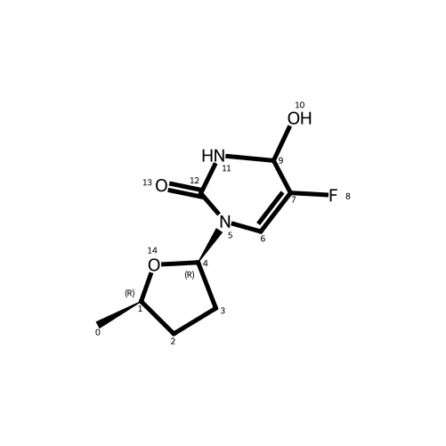 C[C@@H]1CC[C@H](N2C=C(F)C(O)NC2=O)O1